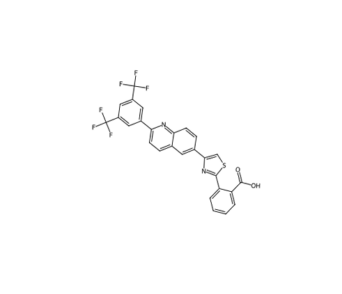 O=C(O)c1ccccc1-c1nc(-c2ccc3nc(-c4cc(C(F)(F)F)cc(C(F)(F)F)c4)ccc3c2)cs1